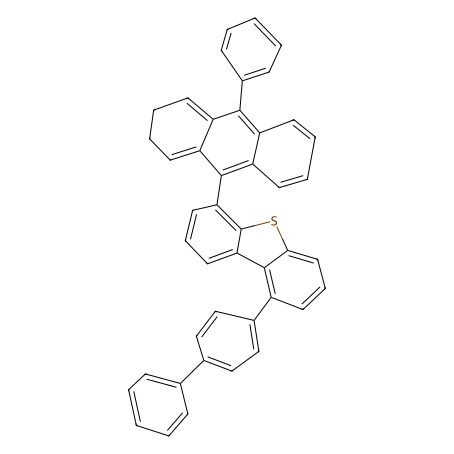 C1=c2c(-c3ccccc3)c3ccccc3c(-c3cccc4c3sc3cccc(-c5ccc(-c6ccccc6)cc5)c34)c2=CCC1